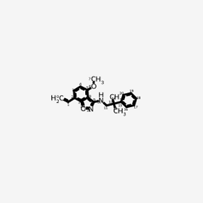 C=Cc1ccc(OC)c2c(NCC(C)(C)c3ccccc3)noc12